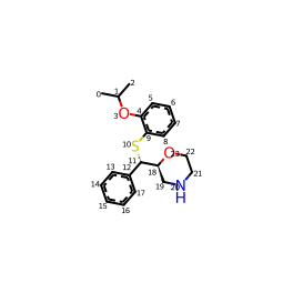 CC(C)Oc1ccccc1S[C@@H](c1ccccc1)[C@@H]1CNCCO1